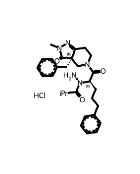 CC(C)C(=O)N(N)[C@H](CCCc1ccccc1)C(=O)N1CCC2=NN(C)C(=O)[C@]2(Cc2ccccc2)C1.Cl